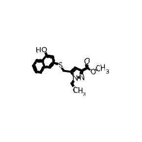 CCn1nc(C(=O)OC)cc1CSc1cc(O)c2ccccc2c1